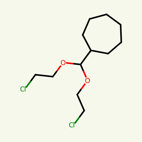 ClCCOC(OCCCl)[C]1CCCCCC1